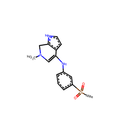 CNS(=O)(=O)c1cccc(NC2=CN(C(=O)O)Cc3[nH]ccc32)c1